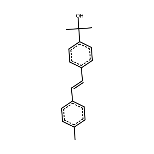 Cc1ccc(/C=C/c2ccc(C(C)(C)O)cc2)cc1